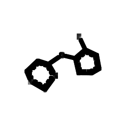 Fc1ccccc1Oc1ccn[c]n1